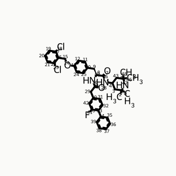 CC1(C)CC(NC(=O)[C@H](Cc2ccc(OCc3c(Cl)cccc3Cl)cc2)NC(=O)Cc2ccc(-c3ccccc3)c(F)c2)CC(C)(C)N1